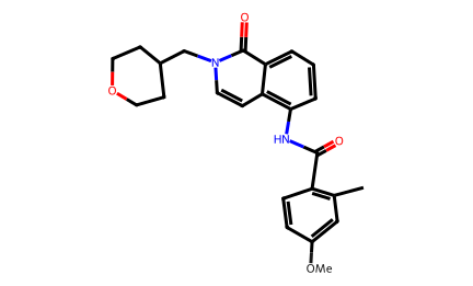 COc1ccc(C(=O)Nc2cccc3c(=O)n(CC4CCOCC4)ccc23)c(C)c1